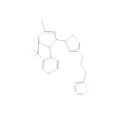 Cc1cc(-c2cnn(CCCc3nn[nH]n3)c2)c2c(c1)C(O)(C(F)(F)F)c1ccccc1-2